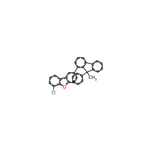 CC1(c2ccccc2)c2ccccc2-c2cccc(-c3ccc4oc5c(Cl)cccc5c4c3)c21